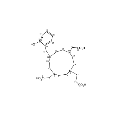 O=C(O)CCN1CCN(CC(=O)O)CCN(Cc2cccc[n+]2[O-])CCN(CC(=O)O)CC1